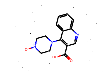 O=C(O)c1cnc2ccccc2c1N1CC[NH+]([O-])CC1